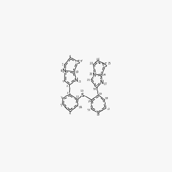 c1ccc(-c2cn3ccsc3n2)c(Sc2ccccc2-c2cn3ccsc3n2)c1